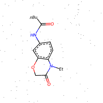 CCCCC(=O)Nc1ccc2c(c1)OCC(=O)N2CC